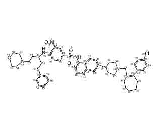 O=[N+]([O-])c1cc(S(=O)(=O)Nc2ncnc3cc(N4CCN(CC5=C(c6ccc(Cl)cc6)CCCCC5)CC4)ccc23)ccc1N[C@H](CCN1CCOCC1)CSc1ccccc1